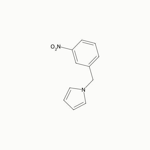 O=[N+]([O-])c1cccc(Cn2cccc2)c1